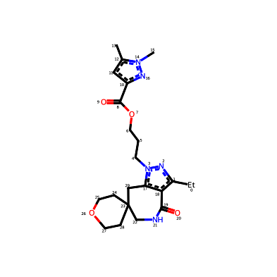 CCc1nn(CCCOC(=O)c2cc(C)n(C)n2)c2c1C(=O)NCC1(CCOCC1)C2